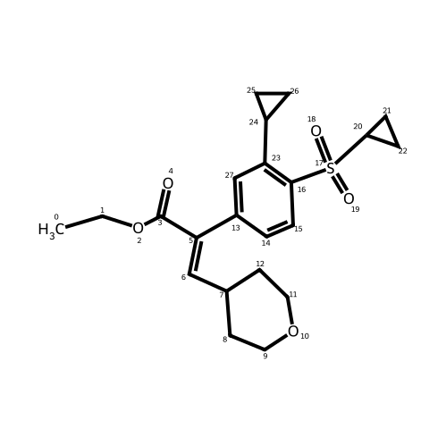 CCOC(=O)/C(=C/C1CCOCC1)c1ccc(S(=O)(=O)C2CC2)c(C2CC2)c1